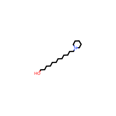 OCCCCCCCCCCCCN1CCCCC1